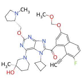 C#Cc1c(F)ccc2cc(OCOC)cc(C(=O)c3nc4nc(OC[C@@H]5CCCN5C)nc(N5CCC[C@@](C)(O)C5)c4n3C3CCC3)c12